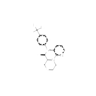 O=C1C2CSCCN2c2ncccc2N1c1ccc(C(F)(F)F)cc1